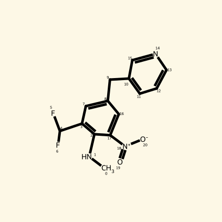 CNc1c(C(F)F)cc(Cc2cccnc2)cc1[N+](=O)[O-]